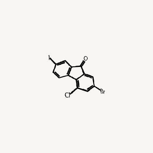 O=C1c2cc(I)ccc2-c2c(Cl)cc(Br)cc21